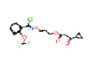 O=C(CC(=O)C1CC1)OCCCO/N=C(\Cl)c1ccccc1OC(F)(F)F